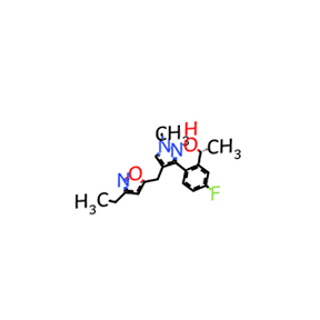 CCc1cc(Cc2cn(C)nc2-c2ccc(F)cc2[C@@H](C)O)on1